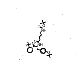 CC(C)(C)OC(=O)NCCCCC(=O)N[C@@H](Cc1ccc(OC(C)(C)C)cc1)C(=O)N1CC[CH]CC1C(C)(C)C